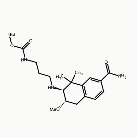 CO[C@H]1Cc2ccc(C(N)=O)cc2C(C)(C)[C@@H]1NCCCNC(=O)OC(C)(C)C